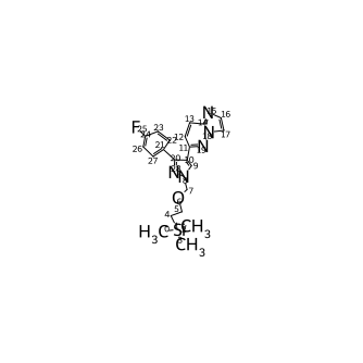 C[Si](C)(C)CCOCn1cc(-c2ccc3nccn3n2)c(-c2ccc(F)cc2)n1